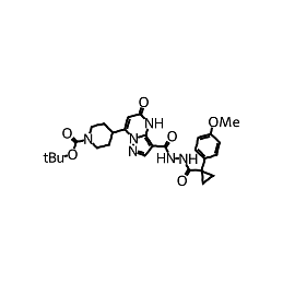 COc1ccc(C2(C(=O)NNC(=O)c3cnn4c(C5CCN(C(=O)OC(C)(C)C)CC5)cc(=O)[nH]c34)CC2)cc1